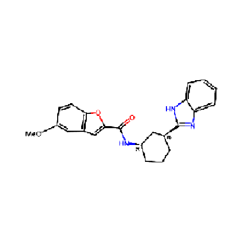 COc1ccc2oc(C(=O)N[C@@H]3CCC[C@H](c4nc5ccccc5[nH]4)C3)cc2c1